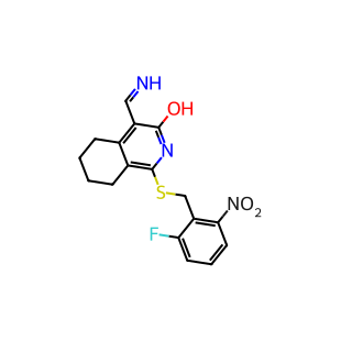 N=Cc1c(O)nc(SCc2c(F)cccc2[N+](=O)[O-])c2c1CCCC2